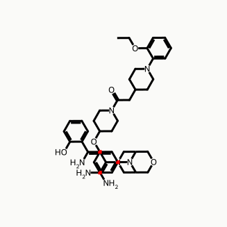 CCOc1ccccc1N1CCC(CC(=O)N2CCC(Oc3cccc(N4C5COCC4CN(C(/C=C(\N)c4ccccc4O)=C(N)N)C5)c3)CC2)CC1